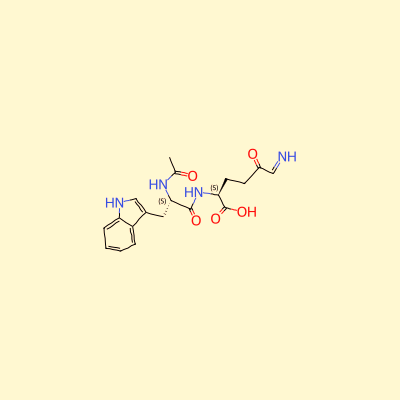 CC(=O)N[C@@H](Cc1c[nH]c2ccccc12)C(=O)N[C@@H](CCC(=O)C=N)C(=O)O